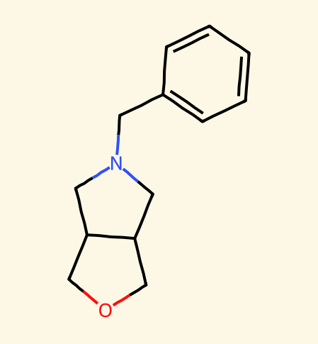 c1ccc(CN2CC3COCC3C2)cc1